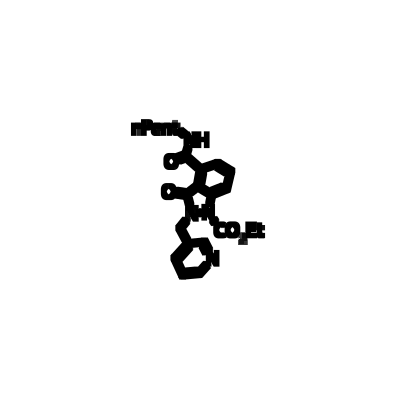 CCCCCNC(=O)c1cccc2c1c(=O)n(Cc1cccnc1)n2C(=O)OCC